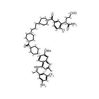 COc1cc2nc(C)nc(N[C@H](C)c3cc(N)cc(C(F)(F)F)c3)c2cc1[C@H]1CC[C@H](C(=O)N2CCN(CCCC3CCN(C(=O)c4ccc(Cl)c(N(CCC=O)C(N)=O)c4)CC3)CC2)CC1